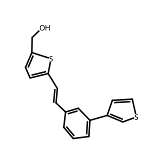 OCc1ccc(/C=C/c2cccc(-c3ccsc3)c2)s1